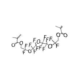 C=C(C)C(=O)OCC(F)(F)OC(F)(F)C(F)(F)OC(F)(F)C(F)(F)OC(F)(F)COC(=O)C(=C)C